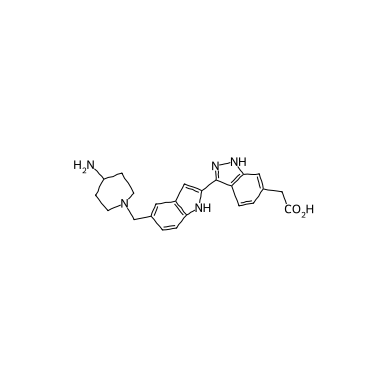 NC1CCN(Cc2ccc3[nH]c(-c4n[nH]c5cc(CC(=O)O)ccc45)cc3c2)CC1